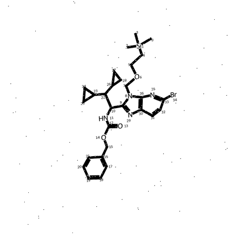 C[Si](C)(C)CCOCn1c(C(NC(=O)OCc2ccccc2)C(C2CC2)C2CC2)nc2ccc(Br)nc21